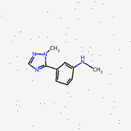 CNc1cccc(-c2ncnn2C)c1